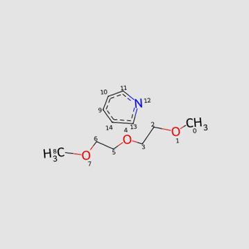 COCCOCCOC.c1ccncc1